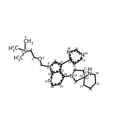 C[Si](C)(C)CCOCn1cc(-c2ccncn2)c2c(N3CC[C@@]4(CCCCN4)C3)ccnc21